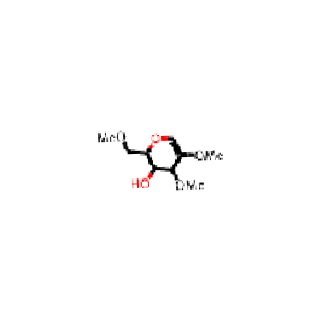 COCC1OC=C(OC)C(OC)C1O